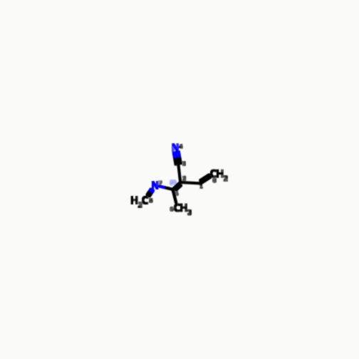 C=C/C(C#N)=C(\C)N=C